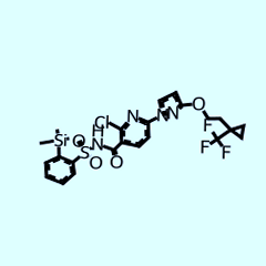 C[Si](C)(C)c1ccccc1S(=O)(=O)NC(=O)c1ccc(-n2ccc(OCCC3(C(F)(F)F)CC3)n2)nc1Cl